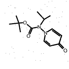 CC(C)N(C(=O)OC(C)(C)C)n1ccc(=O)cc1